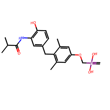 C=P(O)(O)COc1cc(C)c(Cc2ccc(O)c(NC(=O)C(C)C)c2)c(C)c1